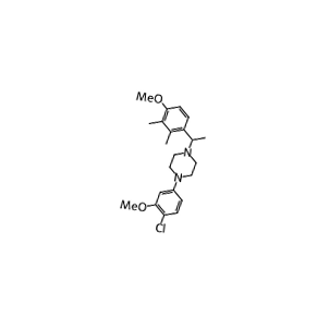 COc1cc(N2CCN(C(C)c3ccc(OC)c(C)c3C)CC2)ccc1Cl